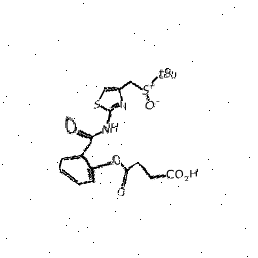 CC(C)(C)[S+]([O-])Cc1csc(NC(=O)c2ccccc2OC(=O)CCC(=O)O)n1